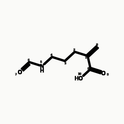 C=C(CCCNC=O)C(=O)O